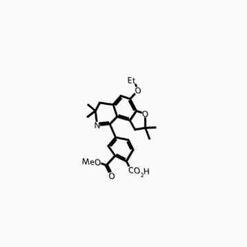 CCOc1cc2c(c3c1OC(C)(C)C3)C(c1ccc(C(=O)O)c(C(=O)OC)c1)=NC(C)(C)C2